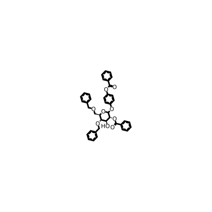 O=C(Oc1ccc(OC2O[C@H](COCc3ccccc3)[C@H](OCc3ccccc3)[C@H](O)[C@H]2OC(=O)c2ccccc2)cc1)c1ccccc1